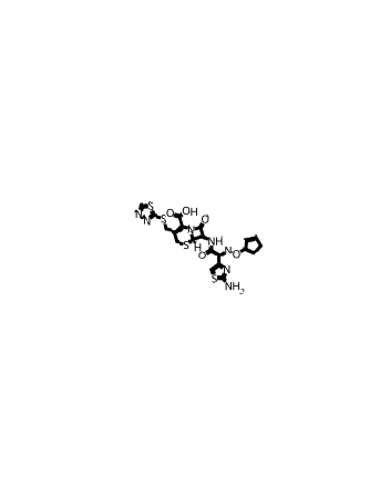 Nc1nc(C(=NOC2C=CCC2)C(=O)NC2C(=O)N3C(C(=O)O)=C(CSc4nncs4)CS[C@@H]23)cs1